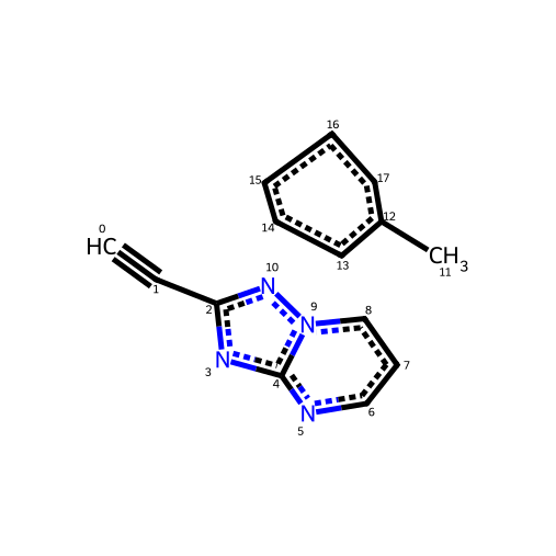 C#Cc1nc2ncccn2n1.Cc1ccccc1